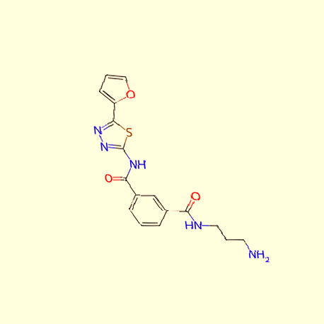 NCCCNC(=O)c1cccc(C(=O)Nc2nnc(-c3ccco3)s2)c1